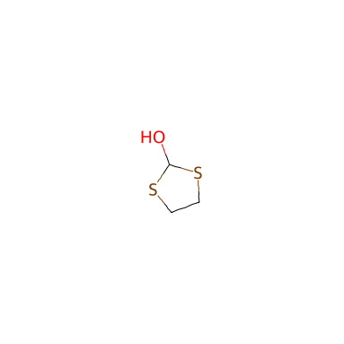 OC1SCCS1